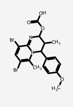 COc1ccc(C2C(C)C(OC(=O)O)N=C3C(Br)=CC(Br)=C(C)N32)cc1